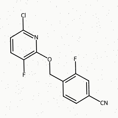 N#Cc1ccc(COc2nc(Cl)ccc2F)c(F)c1